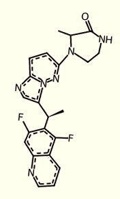 CC1C(=O)NCCN1c1ccc2ncc([C@@H](C)c3c(F)cc4ncccc4c3F)n2n1